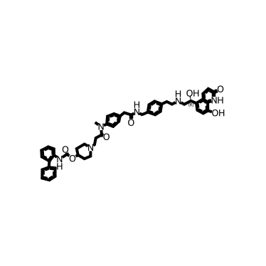 CN(C(=O)CCN1CCC(OC(=O)Nc2ccccc2-c2ccccc2)CC1)c1ccc(CC(=O)NCc2ccc(CCNC[C@H](O)c3ccc(O)c4[nH]c(=O)ccc34)cc2)cc1